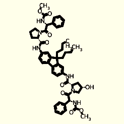 CCCCC1(CCCC)c2cc(NC(=O)[C@@H]3CCCN3C(=O)[C@H](NC(=O)OC)c3ccccc3)ccc2-c2ccc(NC(=O)[C@@H]3C[C@H](O)CN3C(=O)[C@H](NC(=O)OC)c3ccccc3)cc21